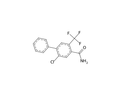 NC(=O)c1cc(Cl)c(-c2ccccc2)cc1C(F)(F)F